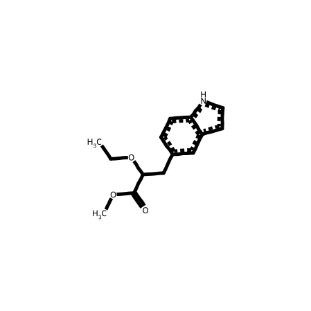 CCOC(Cc1ccc2[nH]ccc2c1)C(=O)OC